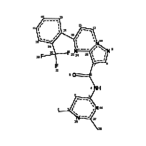 Cc1cc(NC(=O)c2cnn3ccc(-c4ccccc4C(F)(F)F)nc23)nc(C)n1